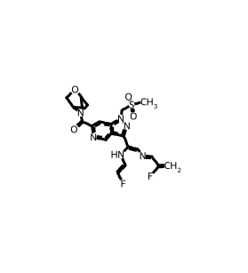 C=C(F)/C=N/C=C(\N/C=C/F)c1nn(CS(C)(=O)=O)c2cc(C(=O)N3CC4CC3CO4)ncc12